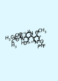 COc1cc(OC(F)F)ncc1-c1nccc(NC(=O)OC(C)(C)C)c1C=O